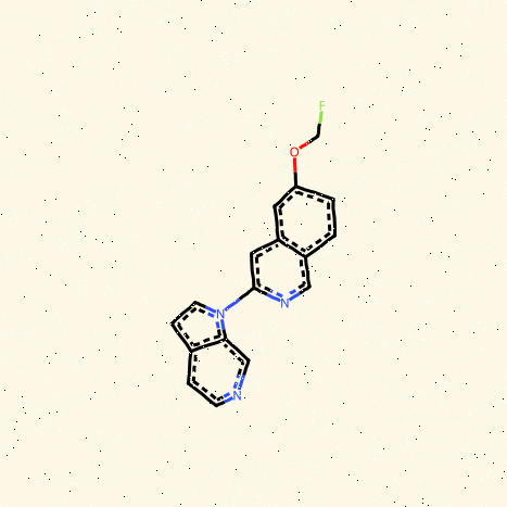 FCOc1ccc2cnc(-n3ccc4ccncc43)cc2c1